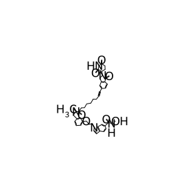 CN(Cc1cccc(OCCn2ccc3ccc(C(=O)NO)cc32)c1)C(=O)CCCCCCC#Cc1ccc2c(c1)CN(C1CCC(=O)NC1=O)C2=O